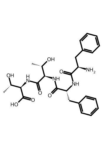 C[C@H](O)[C@@H](NC(=O)[C@H](NC(=O)[C@@H](Cc1ccccc1)NC(=O)[C@H](N)Cc1ccccc1)[C@H](C)O)C(=O)O